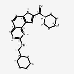 O=C(c1cc2c(ccc3cnc(NCC4CCCCC4)nc32)s1)N1CCNCC1